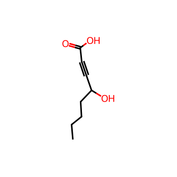 CCCCC(O)C#CC(=O)O